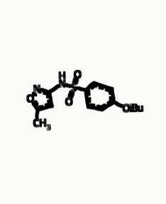 Cc1cc(NS(=O)(=O)c2ccc(OCC(C)C)cc2)no1